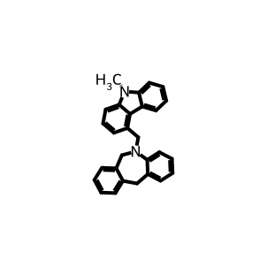 Cn1c2ccccc2c2c(CN3Cc4ccccc4Cc4ccccc43)cccc21